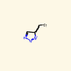 CCC=C1C=NN=N1